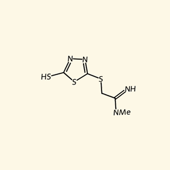 CNC(=N)CSc1nnc(S)s1